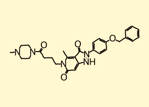 Cc1c2c(=O)n(-c3ccc(OCc4ccccc4)cc3)[nH]c2cc(=O)n1CCCC(=O)N1CCN(C)CC1